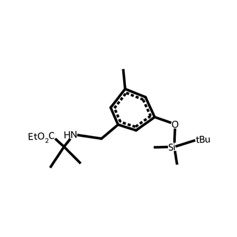 CCOC(=O)C(C)(C)NCc1cc(C)cc(O[Si](C)(C)C(C)(C)C)c1